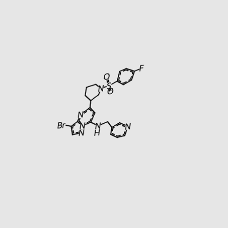 O=S(=O)(c1ccc(F)cc1)N1CCCC(c2cc(NCc3cccnc3)n3ncc(Br)c3n2)C1